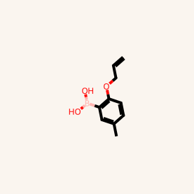 C=CCOc1ccc(C)cc1B(O)O